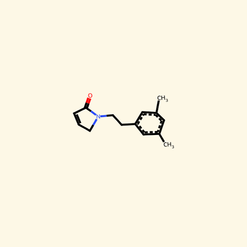 Cc1cc(C)cc(CCN2CC=CC2=O)c1